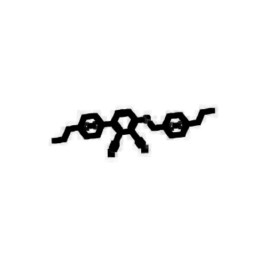 CCCC12CCC(COc3ccc(C45CCC(CCC)(CC4)CC5)c(C#N)c3C#N)(CC1)CC2